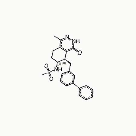 Cc1n[nH]c(=O)c2c1CC[C@H](NS(C)(=O)=O)[C@@H]2Cc1cccc(-c2ccccc2)c1